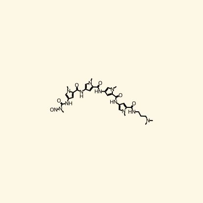 CN(C)CCCNC(=O)c1cc(NC(=O)c2cc(NC(=O)c3cc(NC(=O)c4cc(NC(=O)N(C)N=O)cn4C)cn3C)cn2C)cn1C